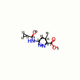 COC(=O)c1nnc(NC(=O)C2CC2)cc1C